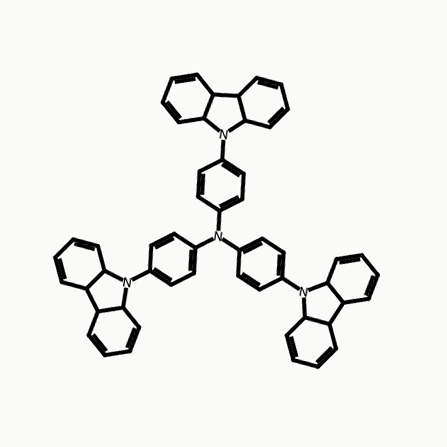 C1=CC2C3C=CC=CC3N(c3ccc(N(c4ccc(N5C6C=CC=CC6C6C=CC=CC65)cc4)c4ccc(N5C6C=CC=CC6C6C=CC=CC65)cc4)cc3)C2C=C1